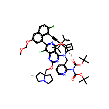 COCOc1cc(-c2nc3c4c(nc(OC[C@@]56CCCN5C[C@H](F)C6)nc4c2F)N(Cc2cccnc2N(C(=O)OC(C)(C)C)C(=O)OC(C)(C)C)[C@@H]2CC[C@@H]2O3)c2c(C#C[Si](C(C)C)(C(C)C)C(C)C)c(F)ccc2c1